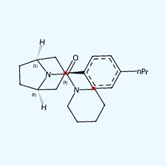 CCCc1ccc([C@H]2C[C@H]3CC[C@@H](C2)N3C(=O)N2CCCCC2)cc1